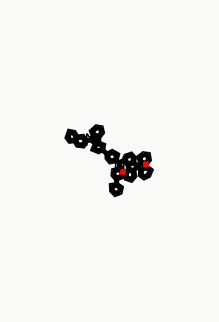 c1ccc(-c2ccc(N(c3ccc(-c4ccc5c(c4)c4ccccc4n5-c4ccc5ccccc5c4)cc3)c3cccc4c3-c3ccccc3C4(c3ccccc3)c3ccccc3)cc2)cc1